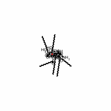 CCCCCCCCCCCCCC(=O)O[C@H](CCCCCCCCCCC)CC(=O)OC1C(NC(=O)C[C@@H](CCCCCCCCCCC)OC(=O)CCCCCCCCCCC)=C(OCC2O[C@@]3(OP(=O)(O)O)C(C(OC(=O)C[C@H](O)CCCCCCCCCCC)[C@@H]2O)N3C(=O)C[C@H](O)CCCCCCCCCCC)O[C@H](CO)[C@H]1OP(=O)(O)OP(=O)(O)OCCN